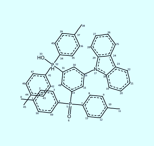 Cc1ccc(P(=O)(c2ccc(C)cc2)c2cc(-n3c4ccccc4c4ccccc43)cc([PH](O)(c3ccc(C)cc3)c3ccc(C)cc3)c2)cc1